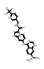 CN(C)c1ccc2c(Oc3ccn4c(C(=O)NCc5ccc(C(F)(F)F)nc5)cnc4c3)ncnc2c1